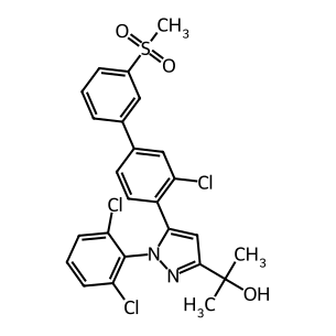 CC(C)(O)c1cc(-c2ccc(-c3cccc(S(C)(=O)=O)c3)cc2Cl)n(-c2c(Cl)cccc2Cl)n1